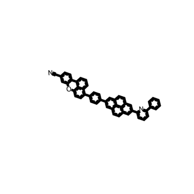 N#Cc1ccc2c(c1)Oc1ccc(-c3ccc(-c4cc5ccc6cc(-c7cccc(-c8ccccc8)n7)cc7ccc(c4)c5c67)cc3)c3cccc-2c13